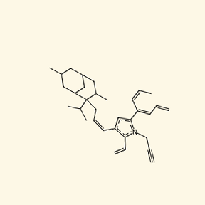 C#CCn1c(C(/C=C\C)=C/C=C)cc(/C=C\CC2(C(C)C)C(C)CC3CC(C)CC2C3)c1C=C